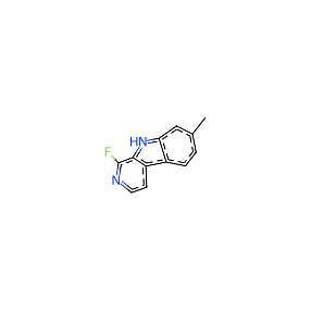 Cc1ccc2c(c1)[nH]c1c(F)nccc12